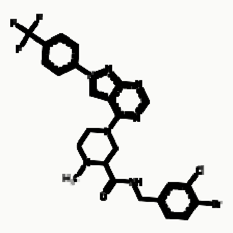 CN1CCN(c2ncnc3nn(-c4ccc(C(F)(F)F)cc4)cc23)CC1C(=O)NCc1ccc(Br)c(Cl)c1